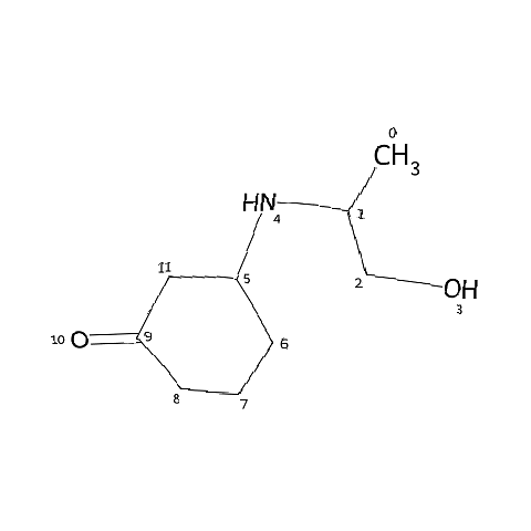 CC(CO)NC1CCCC(=O)C1